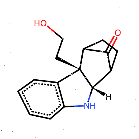 O=C1C2CCC1[C@@]1(CCO)c3ccccc3N[C@@H]21